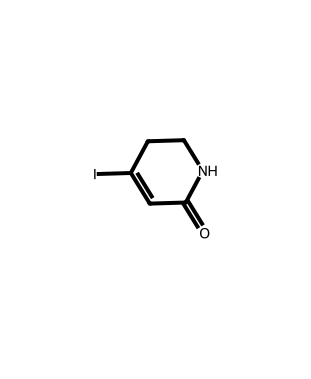 O=C1C=C(I)CCN1